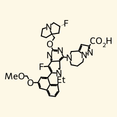 CCc1cccc2cc(OCOC)cc(-c3ncc4c(N5CCCn6nc(C(=O)O)cc6C5)nc(OC[C@@]56CCCN5C[C@H](F)C6)nc4c3F)c12